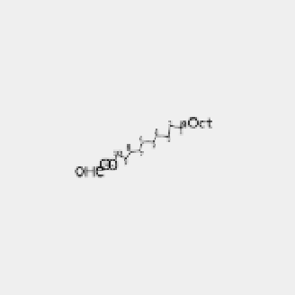 CCCCCCCCCCCCCCCCCCOO[C]=O